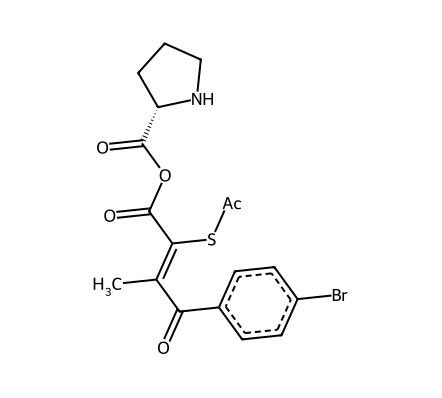 CC(=O)SC(C(=O)OC(=O)[C@@H]1CCCN1)=C(C)C(=O)c1ccc(Br)cc1